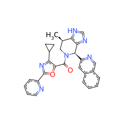 C[C@@H]1CN(C(=O)c2oc(-c3ccccn3)nc2C2CC2)[C@H](c2cc3ccccc3cn2)c2nc[nH]c21